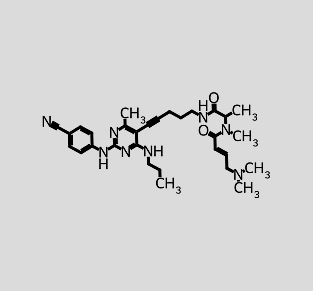 CCCNc1nc(Nc2ccc(C#N)cc2)nc(C)c1C#CCCCNC(=O)C(C)N(C)C(=O)/C=C/CN(C)C